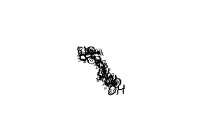 Cc1cccc(Cl)c1-c1noc(C2CC2)c1COC1CCN(c2nc(-c3ccc(C(=O)O)nc3)cs2)CC1